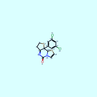 O=C1N=C2CCSC2(c2cc(Cl)cc(Cl)c2)C2SC=CN12